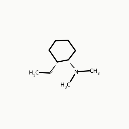 CC[C@@H]1CCCC[C@@H]1N(C)C